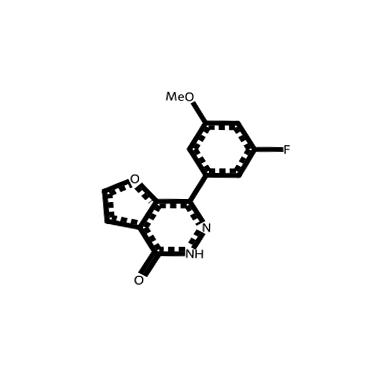 COc1cc(F)cc(-c2n[nH]c(=O)c3ccoc23)c1